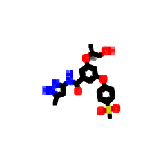 Cc1cc(NC(=O)c2cc(Oc3ccc(S(C)(=O)=O)cc3)cc(O[C@@H](C)CO)c2)n[nH]1